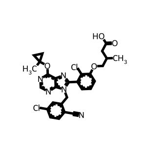 CC(COc1cccc(-c2nc3c(OC4(C)CC4)ncnc3n2Cc2cc(Cl)ccc2C#N)c1Cl)CC(=O)O